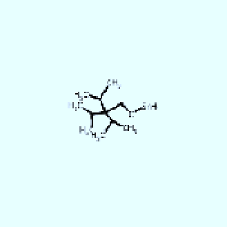 CC(C)C(C[O][SnH])(C(C)C)C(C)C